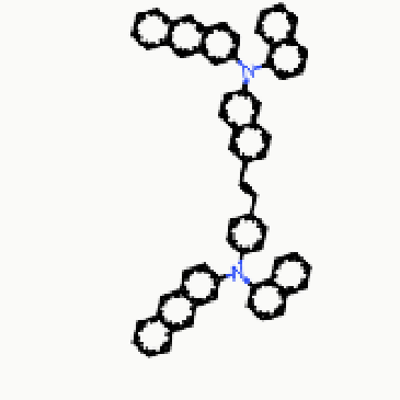 C(=C\c1ccc2cc(N(c3ccc4cc5ccccc5cc4c3)c3cccc4ccccc34)ccc2c1)/c1ccc(N(c2ccc3cc4ccccc4cc3c2)c2cccc3ccccc23)cc1